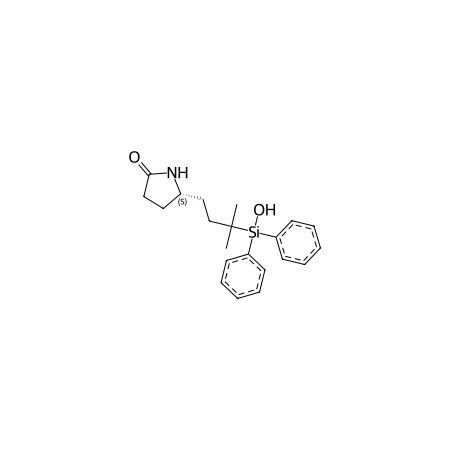 CC(C)(CC[C@@H]1CCC(=O)N1)[Si](O)(c1ccccc1)c1ccccc1